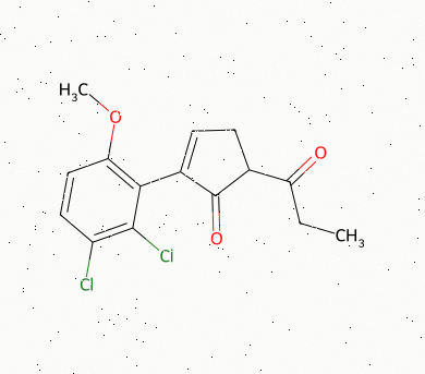 CCC(=O)C1CC=C(c2c(OC)ccc(Cl)c2Cl)C1=O